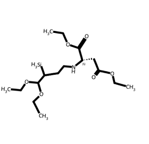 CCOC(=O)C[C@H](NCCC([SiH3])C(OCC)OCC)C(=O)OCC